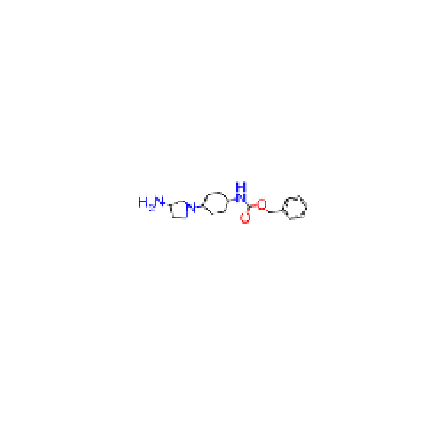 NC1CCN(C2CCC(NC(=O)OCc3ccccc3)CC2)C1